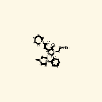 CN1CCN(c2ccccc2[C@H]2SC(CC(=O)N3CCCCC3)C(=O)N2CCC(C)(C)C)CC1